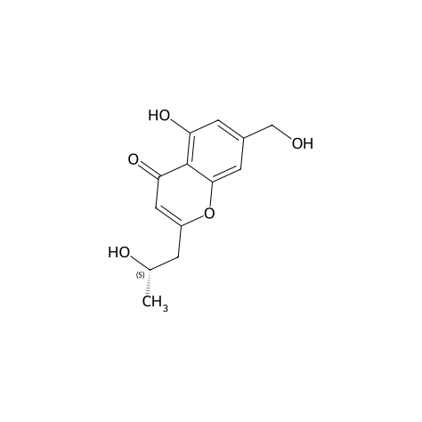 C[C@H](O)Cc1cc(=O)c2c(O)cc(CO)cc2o1